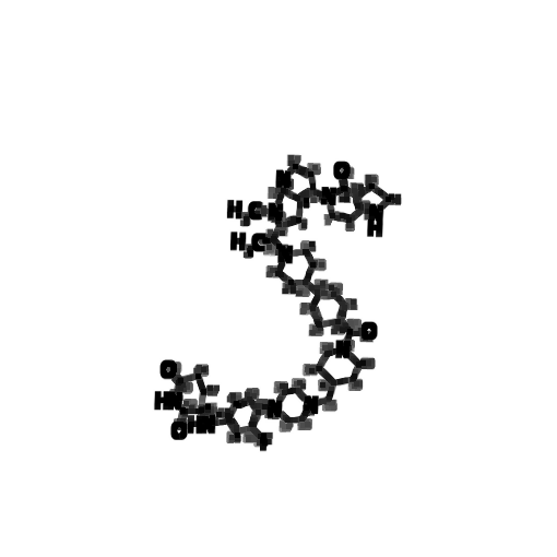 C[C@@H](c1cc2c(-n3ccc4c(c3=O)CCN4)ccnc2n1C)N1CCC(c2ccc(C(=O)N3CCC(CN4CCN(c5ccc(N[C@H]6CCC(=O)NC6=O)cc5F)CC4)CC3)cc2)CC1